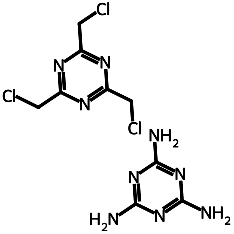 ClCc1nc(CCl)nc(CCl)n1.Nc1nc(N)nc(N)n1